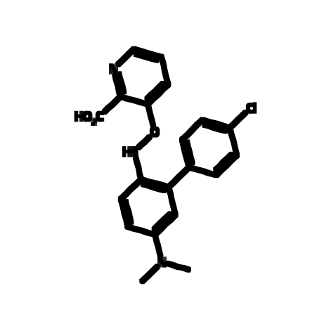 CN(C)c1ccc(BOc2cccnc2C(=O)O)c(-c2ccc(Cl)cc2)c1